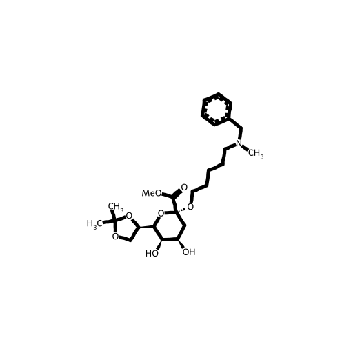 COC(=O)[C@@]1(OCCCCCN(C)Cc2ccccc2)C[C@@H](O)[C@@H](O)C([C@H]2COC(C)(C)O2)O1